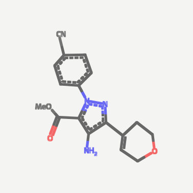 COC(=O)c1c(N)c(C2=CCOCC2)nn1-c1ccc(C#N)cc1